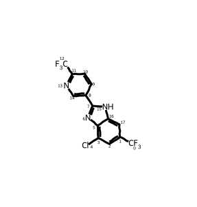 FC(F)(F)c1cc(Cl)c2nc(-c3ccc(C(F)(F)F)nc3)[nH]c2c1